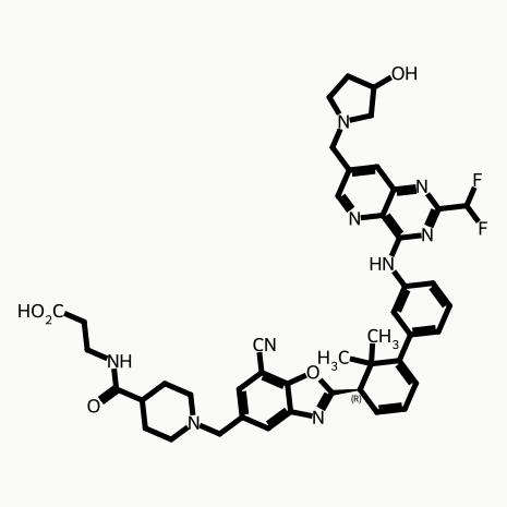 CC1(C)C(c2cccc(Nc3nc(C(F)F)nc4cc(CN5CCC(O)C5)cnc34)c2)=CC=C[C@H]1c1nc2cc(CN3CCC(C(=O)NCCC(=O)O)CC3)cc(C#N)c2o1